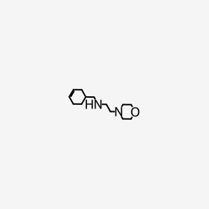 C1=CCC(CNCCN2CCOCC2)CC1